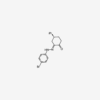 CC(C)[C@H]1CCC(=O)/C(=N/Nc2ccc(Br)cc2)C1